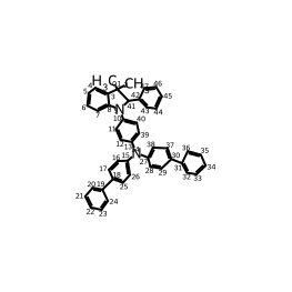 CC1(C)c2ccccc2N(c2ccc(N(c3ccc(-c4ccccc4)cc3)c3ccc(-c4ccccc4)cc3)cc2)C1c1ccccc1